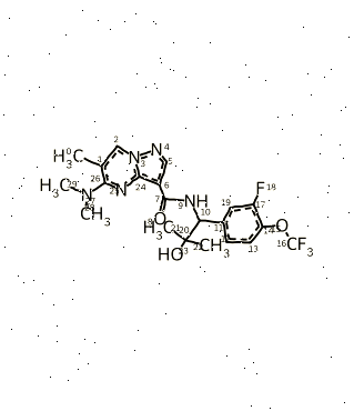 Cc1cn2ncc(C(=O)NC(c3ccc(OC(F)(F)F)c(F)c3)C(C)(C)O)c2nc1N(C)C